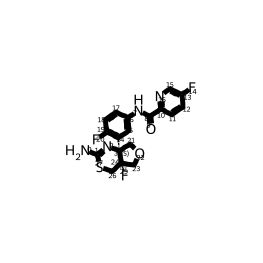 NC1=N[C@@]2(c3cc(NC(=O)c4ccc(F)cn4)ccc3F)COC[C@@]2(F)CS1